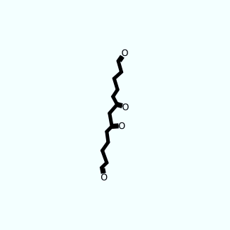 O=CCCCCC(=O)CC(=O)CCCCC=O